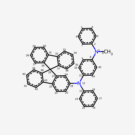 CN(c1ccccc1)c1ccc(N(c2ccccc2)c2ccc3c(c2)C2(c4ccccc4-c4ccccc42)c2ccccc2-3)cc1